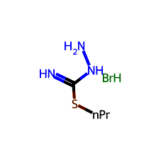 Br.CCCSC(=N)NN